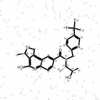 C[C@H]1OCc2c1c(N)nc1ccc(C(=O)N(Cc3ccc(C(F)(F)F)cn3)[C@@H](C)[C@@H](C)O)cc21